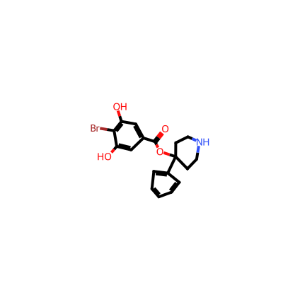 O=C(OC1(c2ccccc2)CCNCC1)c1cc(O)c(Br)c(O)c1